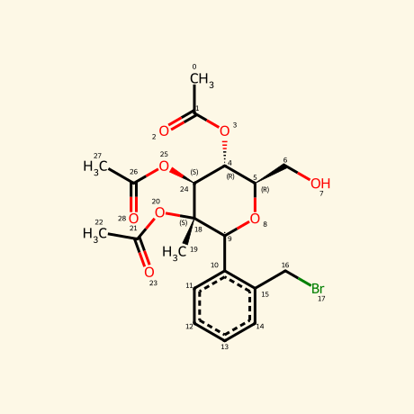 CC(=O)O[C@@H]1[C@@H](CO)O[C](c2ccccc2CBr)[C@](C)(OC(C)=O)[C@H]1OC(C)=O